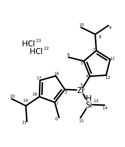 CC1=[C]([Zr]([C]2=C(C)C(C(C)C)=CC2)[SiH](C)C)CC=C1C(C)C.Cl.Cl